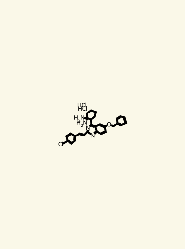 Cl.Cl.NC1(N)CCCCC1c1nc(C=Cc2ccc(Cl)cc2)nc2ccc(OCc3ccccc3)cc12